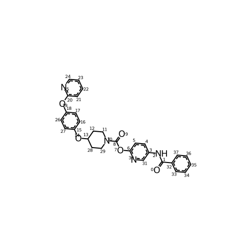 O=C(Nc1ccc(OC(=O)N2CCC(Oc3ccc(Oc4ccccn4)cc3)CC2)nc1)c1ccccc1